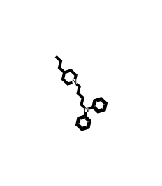 CCCC1CCN(CCCCN(c2ccccc2)c2ccccc2)CC1